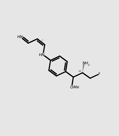 COC(c1ccc(N/C=C\C=N)cc1)[C@H](N)CF